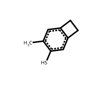 Cc1cc2c(cc1S)CC2